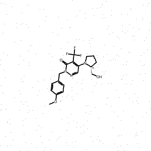 COc1ccc(Cn2ncc(N3CCC[C@@H]3CO)c(C(F)(F)F)c2=O)cc1